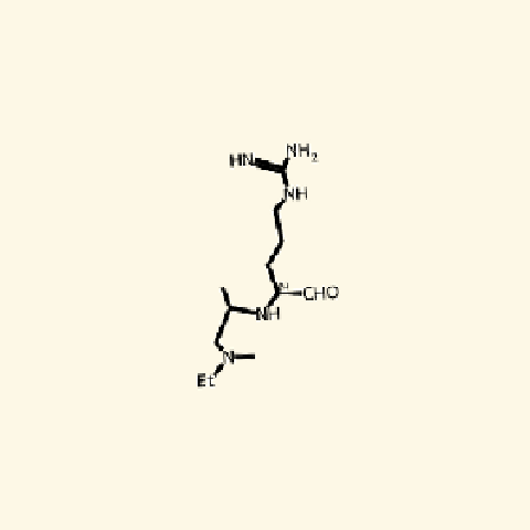 CCN(C)CC(C)N[C@H](C=O)CCCNC(=N)N